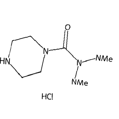 CNN(NC)C(=O)N1CCNCC1.Cl